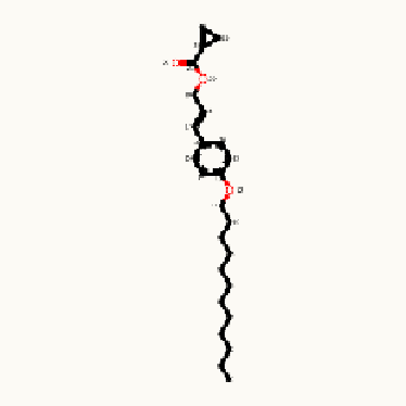 CCCCCCCCCCCCOc1ccc(C=CCOC(=O)C2CC2)cc1